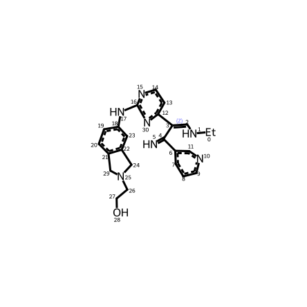 CCN/C=C(\C(=N)c1cccnc1)c1ccnc(Nc2ccc3c(c2)CN(CCO)C3)n1